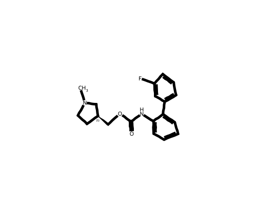 CN1CC[C@H](COC(=O)Nc2ccccc2-c2cccc(F)c2)C1